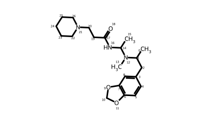 CC(Cc1ccc2c(c1)OCO2)N(C)C(C)NC(=O)CCN1CCCCC1